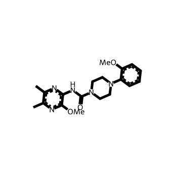 COc1ccccc1N1CCN(C(=O)Nc2nc(C)c(C)nc2OC)CC1